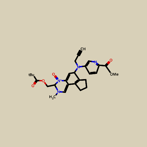 C#CCN(c1ccc(C(=O)OC)nc1)C1C=C2C(=CN(C)C(COC(=O)C(C)(C)C)[N+]2=O)C2=C1CCC2